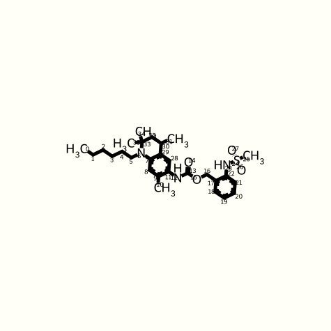 CCCCCCN1c2cc(C)c(NC(=O)OCc3ccccc3NS(C)(=O)=O)cc2C(C)CC1(C)C